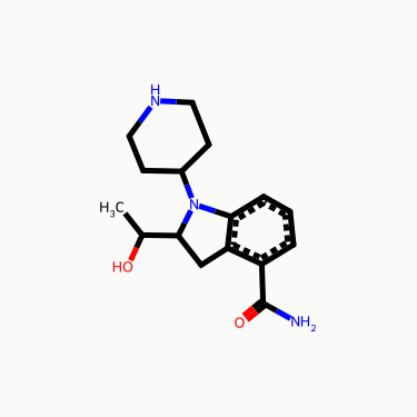 CC(O)C1Cc2c(C(N)=O)cccc2N1C1CCNCC1